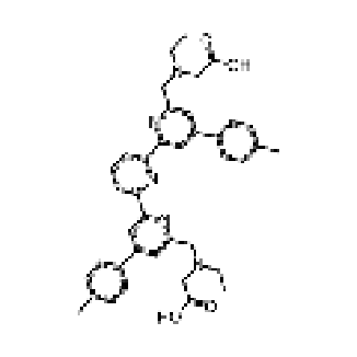 CCN(CC(=O)O)Cc1cc(-c2ccc(C)cc2)cc(-c2cccc(-c3cc(-c4ccc(C)cc4)cc(CN(CC)CC(=O)O)n3)n2)n1